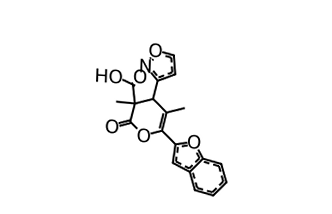 CC1=C(c2cc3ccccc3o2)OC(=O)C(C)(C(=O)O)C1c1ccon1